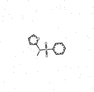 CN(c1ccco1)S(=O)(=O)c1ccccc1